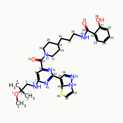 COC(C)(C)CNc1cc(C(=O)N2CCC(CCCNC(=O)c3ccccc3O)CC2)nc(-c2cnn3ccsc23)n1